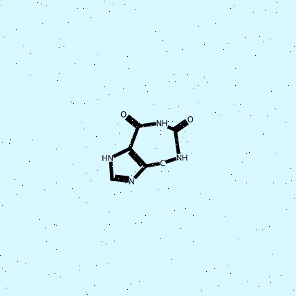 O=C1NCc2nc[nH]c2C(=O)N1